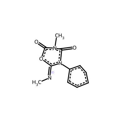 C/N=c1\oc(=O)n(C)c(=O)n1-c1ccccc1